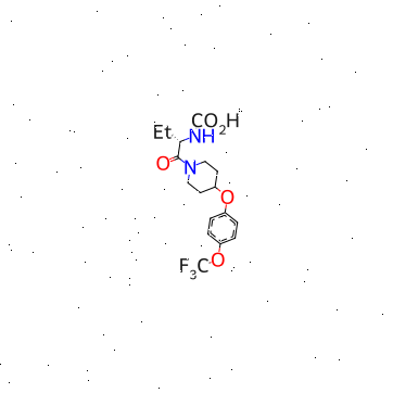 CC[C@H](NC(=O)O)C(=O)N1CCC(Oc2ccc(OC(F)(F)F)cc2)CC1